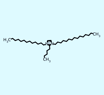 CCCCCCCCCCCCCCCn1cc[n+](CCCCCCCCCCCCC)c1CCCCC